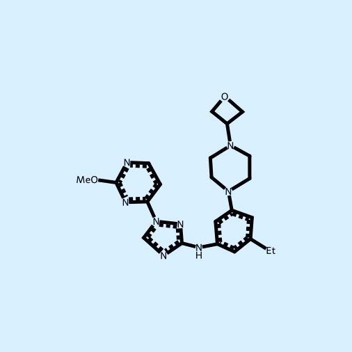 CCc1cc(Nc2ncn(-c3ccnc(OC)n3)n2)cc(N2CCN(C3COC3)CC2)c1